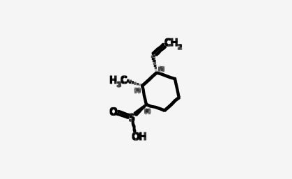 C=C[C@@H]1CCC[C@@H](S(=O)O)[C@@H]1C